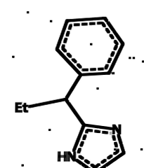 CCC(c1[c]cccc1)c1ncc[nH]1